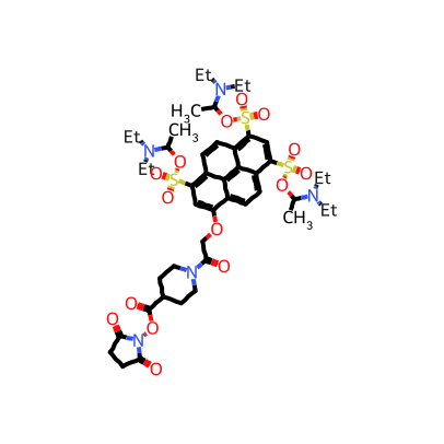 CCN(CC)C(C)OS(=O)(=O)c1cc(OCC(=O)N2CCC(C(=O)ON3C(=O)CCC3=O)CC2)c2ccc3c(S(=O)(=O)OC(C)N(CC)CC)cc(S(=O)(=O)OC(C)N(CC)CC)c4ccc1c2c34